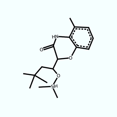 Cc1cccc2c1NC(=O)C(C(CC(C)(C)C)O[SiH](C)C)O2